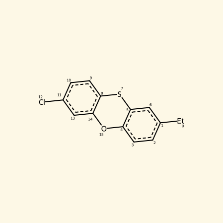 CCc1ccc2c(c1)Sc1ccc(Cl)cc1O2